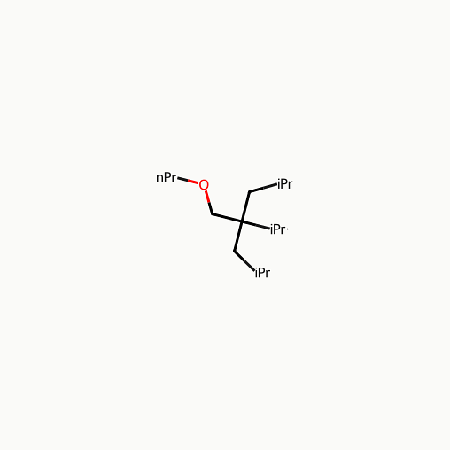 CCCOCC(CC(C)C)(CC(C)C)[C](C)C